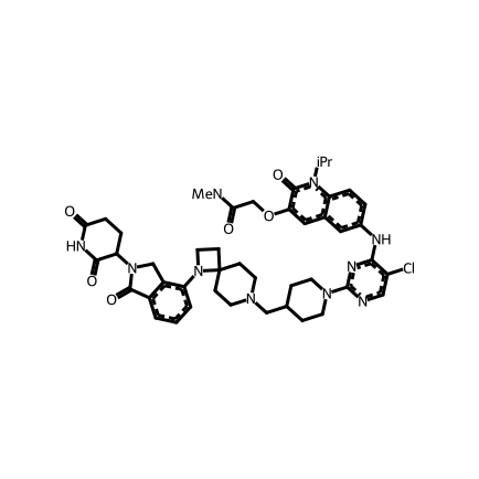 CNC(=O)COc1cc2cc(Nc3nc(N4CCC(CN5CCC6(CC5)CCN6c5cccc6c5CN(C5CCC(=O)NC5=O)C6=O)CC4)ncc3Cl)ccc2n(C(C)C)c1=O